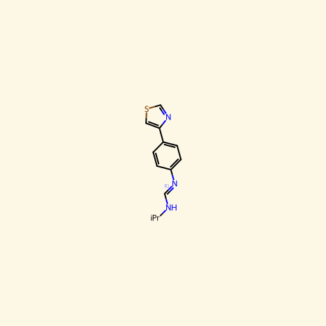 CC(C)N/C=N/c1ccc(-c2cscn2)cc1